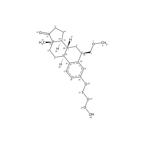 COC[C@@H]1C[C@@H]2[C@H](CC[C@]3(C)C(=O)CC[C@@H]23)c2ccc(OSOOO)cc21